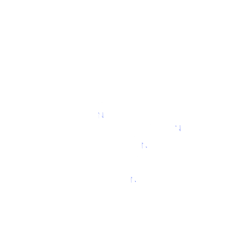 c1ccc(-c2cccc(N(c3cccc(-c4ccccc4)c3)c3cc4c5ccncc5n5c6cnccc6c(c3)c45)c2)cc1